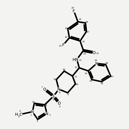 Cn1cnc(S(=O)(=O)N2CCC(C(NC(=O)c3ccc(F)cc3F)c3ccccn3)CC2)c1